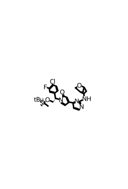 CC(C)(C)[Si](C)(C)OC[C@H](c1ccc(Cl)c(F)c1)n1ccc(-c2ccnc(NC3CC4CC3CO4)n2)cc1=O